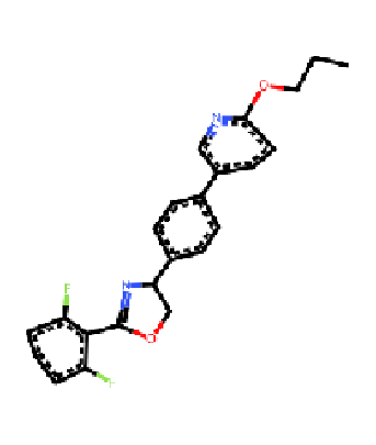 CCCOc1ccc(-c2ccc(C3COC(c4c(F)cccc4F)=N3)cc2)cn1